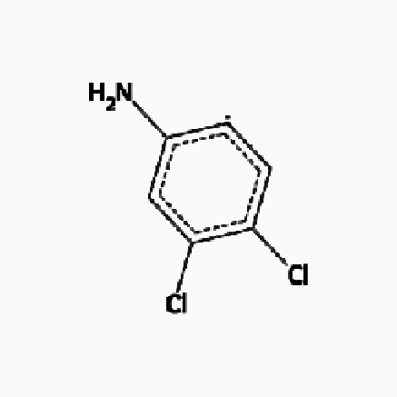 Nc1[c]cc(Cl)c(Cl)c1